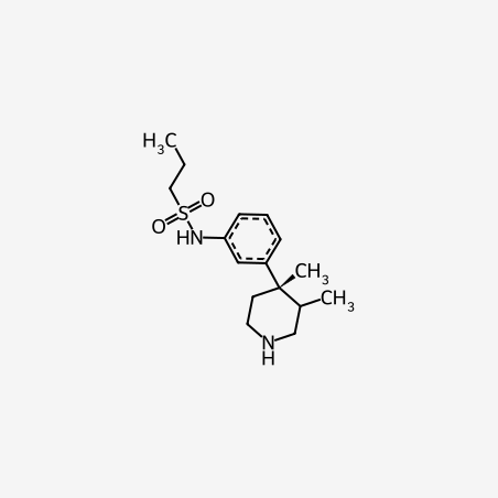 CCCS(=O)(=O)Nc1cccc([C@@]2(C)CCNCC2C)c1